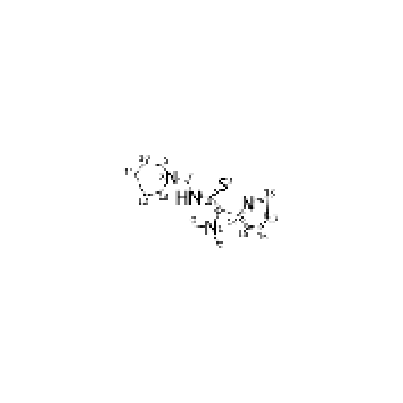 CN(C)C(C(=S)NCN1CCCCC1)c1ccccn1